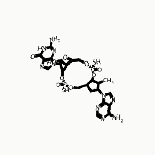 CC1C2OP(=O)(S)OCC3OC(n4cnc5c(=O)[nH]c(N)nc54)C(O[P@@](=O)(S)OCC2CC1n1cnc2c(N)ncnc21)C3CO